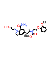 CCOc1ccccc1OCCN(C(=O)OC(C)(C)C)C(C)Cc1cc2c(c(C(N)=O)c1)N(CCCO)CC2